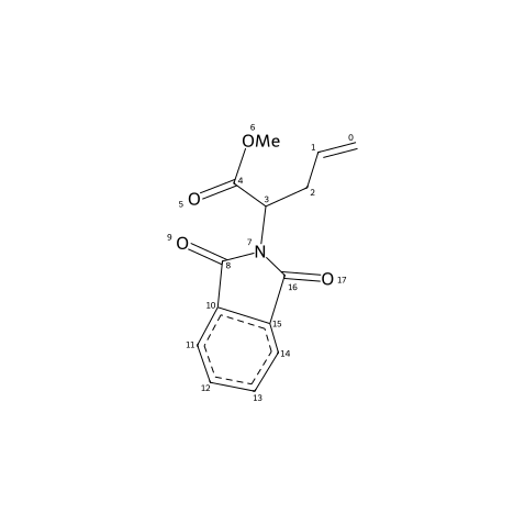 C=CCC(C(=O)OC)N1C(=O)c2ccccc2C1=O